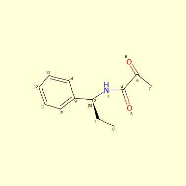 CC[C@H](NC(=O)C(C)=O)c1ccccc1